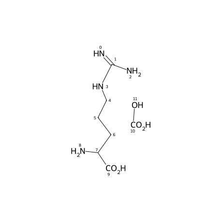 N=C(N)NCCCC(N)C(=O)O.O=C(O)O